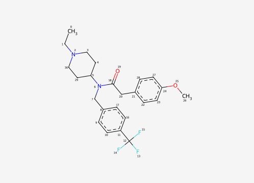 CCN1CCC(N(Cc2ccc(C(F)(F)F)cc2)C(=O)Cc2ccc(OC)cc2)CC1